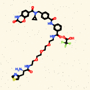 N[C@@H](Cc1cscn1)C(=O)NCCOCCOCCOCCNC(=O)c1cccc(NC(=O)c2ccc(CN(C(=O)c3ccc4c(c3)OCC(=O)N4)C3CC3)cc2)c1.O=C(O)C(F)(F)F